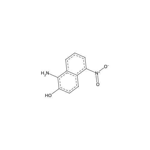 Nc1c(O)ccc2c([N+](=O)[O-])cccc12